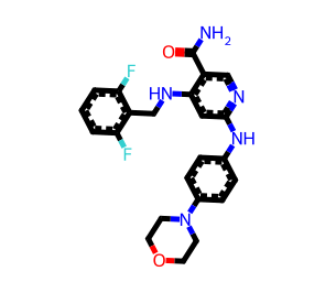 NC(=O)c1cnc(Nc2ccc(N3CCOCC3)cc2)cc1NCc1c(F)cccc1F